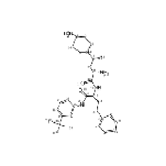 NC1CCN(C(=O)C[C@H](N)C(=O)N[C@@H](CCc2ccccc2)C(=O)Nc2cccc(C(F)(F)F)c2)CC1